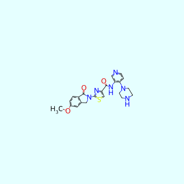 COc1ccc2c(c1)CN(c1nc(C(=O)Nc3cnccc3N3CCNCC3)cs1)C2=O